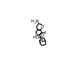 N[C@H]1COc2c(cnc(N3CC4CCC(C3)N4C(=O)O)c2F)C1